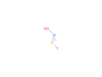 O/N=P/I